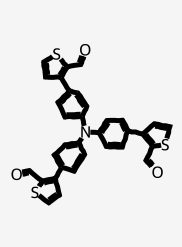 O=Cc1sccc1-c1ccc(N(c2ccc(-c3ccsc3C=O)cc2)c2ccc(-c3ccsc3C=O)cc2)cc1